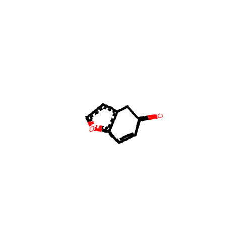 O=C1C=Cc2occc2C1